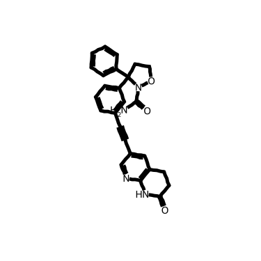 NC(=O)N1OCCC1(c1ccccc1)c1cccc(C#Cc2cnc3c(c2)CCC(=O)N3)c1